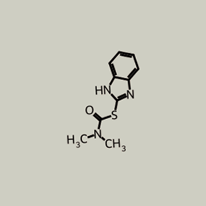 CN(C)C(=O)Sc1nc2ccccc2[nH]1